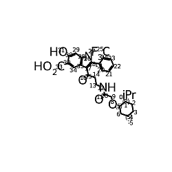 CC(C)[C@H]1CC[C@H](C)C[C@@H]1OCC(=O)NCCC(=O)c1c(-c2ccccc2C(F)(F)F)n(C)c2cc(O)c(C(=O)O)cc12